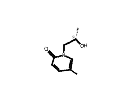 Cc1ccc(=O)n(C[C@H](C)O)c1